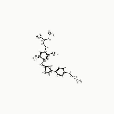 CCCCc1ccc(-c2nsc(Oc3cc(C)c(CCN(C)CC)cc3C)n2)cc1